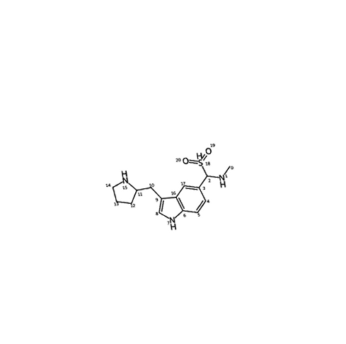 CNC(c1ccc2[nH]cc(CC3CCCN3)c2c1)[SH](=O)=O